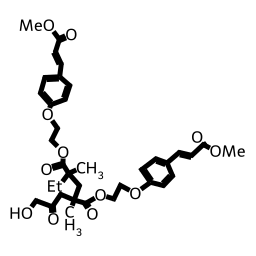 CCC(C)(CC(C)(CC(=O)CO)C(=O)OCCOc1ccc(/C=C/C(=O)OC)cc1)C(=O)OCCOc1ccc(/C=C/C(=O)OC)cc1